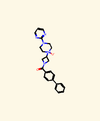 O=C(c1ccc(-c2ccccc2)cc1)N1CC([N+]2([O-])CCN(c3ncccn3)CC2)C1